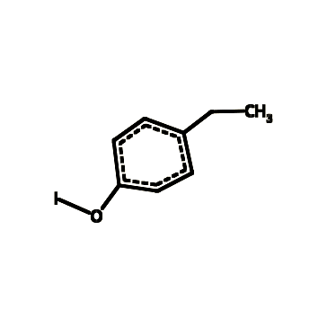 CCc1ccc(OI)cc1